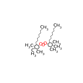 CCCCCCCCCc1c(OOOc2cc(C)c(C)c(C)c2CCCCCCCCC)cc(C)c(C)c1C